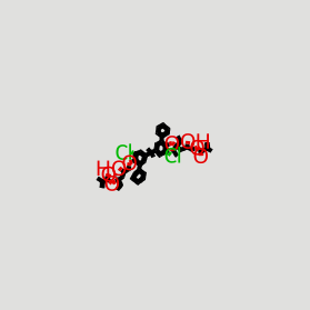 C=C(C)C(=O)OCC(O)CC(CC)(CC)Oc1c(Cl)cc(C(C)(C)c2cc(Cl)c(OCC(O)C[C@@](C)(CC)OC(=O)C(=C)C)c(-c3ccccc3)c2)cc1-c1ccccc1